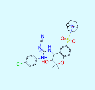 CC1(C)Oc2ccc(S(=O)(=O)N3CC4CCC(CC4)C3)cc2C(N/C(=N\C#N)Nc2ccc(Cl)cc2)C1O